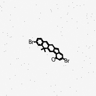 CC1(C)C2=CC3=C4C(=O)C=C(Br)C=C4C=C3CC2=Cc2ccc(Br)cc21